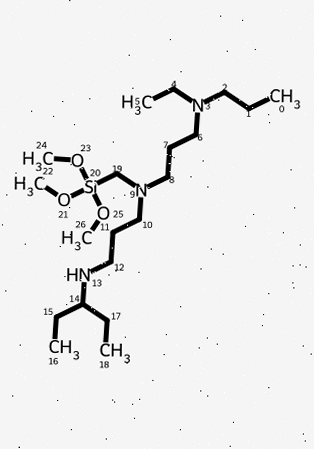 CCCN(CC)CCCN(CCCNC(CC)CC)C[Si](OC)(OC)OC